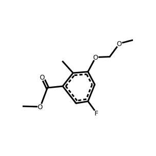 COCOc1cc(F)cc(C(=O)OC)c1C